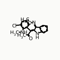 CNc1c(Cl)cccc1/C(C(C)=O)=C1/Nc2ccccc2/C1=N/OC